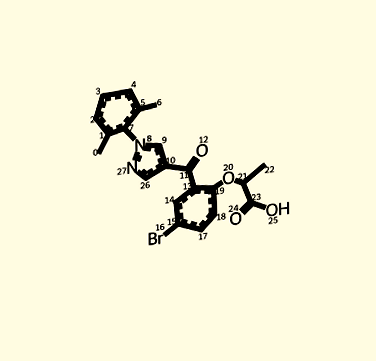 Cc1cccc(C)c1-n1cc(C(=O)c2cc(Br)ccc2OC(C)C(=O)O)cn1